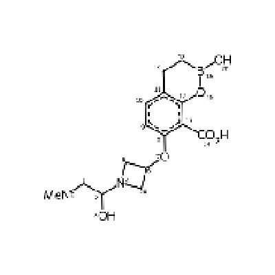 CNCC(O)N1CC(Oc2ccc3c(c2C(=O)O)OB(O)CC3)C1